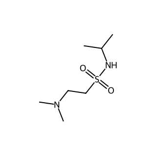 CC(C)NS(=O)(=O)CCN(C)C